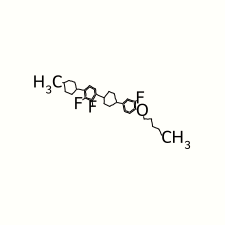 CCCCCCOc1ccc(C2CCC(c3ccc(C4CCC(C)CC4)c(F)c3F)CC2)cc1F